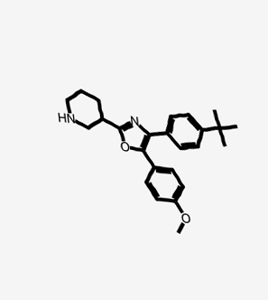 COc1ccc(-c2oc(C3CCCNC3)nc2-c2ccc(C(C)(C)C)cc2)cc1